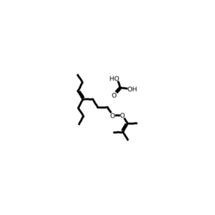 CCC=C(CCC)CCCOOC(C)=C(C)C.O=C(O)O